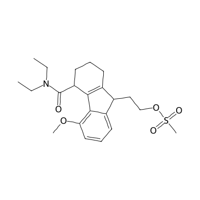 CCN(CC)C(=O)C1CCCC2=C1c1c(OC)cccc1C2CCOS(C)(=O)=O